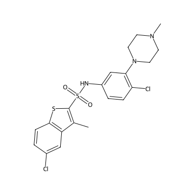 Cc1c(S(=O)(=O)Nc2ccc(Cl)c(N3CCN(C)CC3)c2)sc2ccc(Cl)cc12